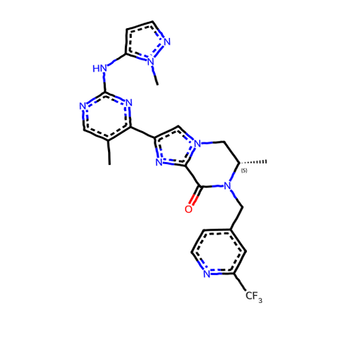 Cc1cnc(Nc2ccnn2C)nc1-c1cn2c(n1)C(=O)N(Cc1ccnc(C(F)(F)F)c1)[C@@H](C)C2